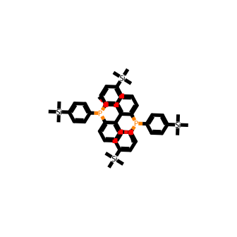 COc1cccc(P(c2ccc([Si](C)(C)C)cc2)c2ccc([Si](C)(C)C)cc2)c1-c1c(OC)cccc1P(c1ccc([Si](C)(C)C)cc1)c1ccc([Si](C)(C)C)cc1